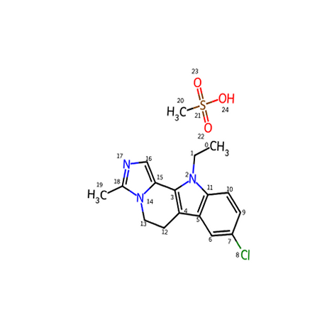 CCn1c2c(c3cc(Cl)ccc31)CCn1c-2cnc1C.CS(=O)(=O)O